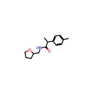 Cc1ccc(C(C)C(=O)NCC2CCCO2)cc1